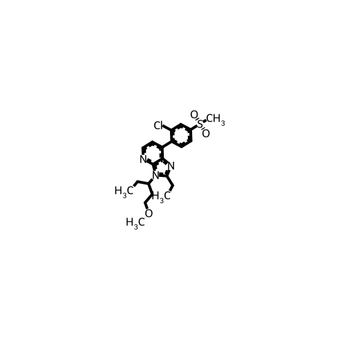 CCc1nc2c(-c3ccc(S(C)(=O)=O)cc3Cl)ccnc2n1C(CC)CCOC